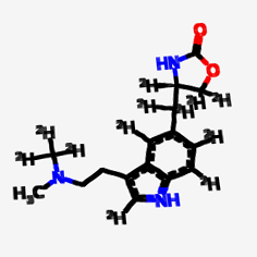 [2H]c1[nH]c2c([2H])c([2H])c(C([2H])([2H])[C@]3([2H])NC(=O)OC3([2H])[2H])c([2H])c2c1CCN(C)C([2H])([2H])[2H]